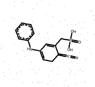 [N-]=[N+]=C1CC=C(Nc2ccccc2)C=C1CP(=O)(O)O